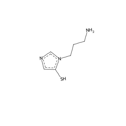 NCCCn1cncc1S